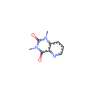 Cn1c(=O)c2ncccc2n(C)c1=O